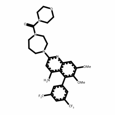 COc1cc2nc(N3CCCN(C(=O)N4CCOCC4)CC3)cc(N)c2c(-c2cc(C(F)(F)F)cc(C(F)(F)F)c2)c1OC